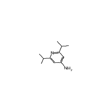 CC(C)c1cc(N)cc(C(C)C)n1